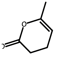 CC1=CCCC(=O)O1